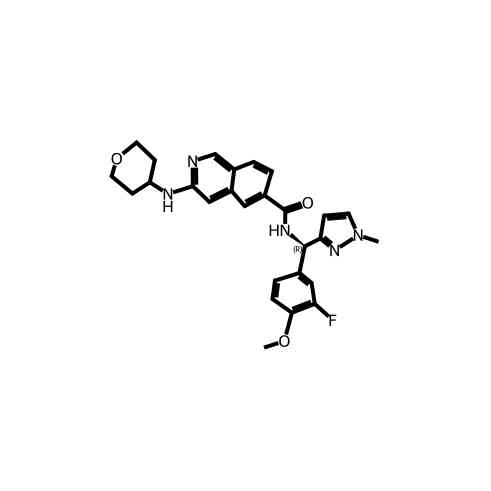 COc1ccc([C@@H](NC(=O)c2ccc3cnc(NC4CCOCC4)cc3c2)c2ccn(C)n2)cc1F